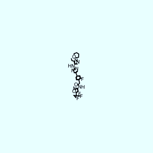 CCc1c(Nc2ncc(-c3ccc(CC(=O)Nc4cc(C5(C(F)(F)F)CC5)on4)c(F)c3)cn2)cnn1C1CCCCO1